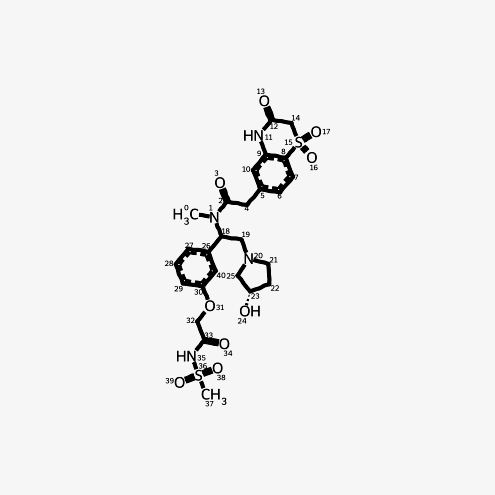 CN(C(=O)Cc1ccc2c(c1)NC(=O)CS2(=O)=O)C(CN1CC[C@H](O)C1)c1cccc(OCC(=O)NS(C)(=O)=O)c1